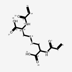 C=CC(=O)NC(CSSC[C@H](NC(=O)C=C)C(=O)O)C(=O)O